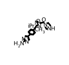 CC(C)C(C)(c1ccc(-c2cnc(N)nc2)cc1)c1noc(C(=O)N2CCNCC2)n1